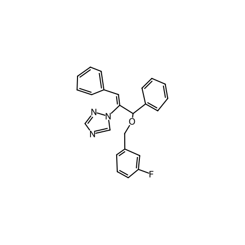 Fc1cccc(COC(C(=Cc2ccccc2)n2cncn2)c2ccccc2)c1